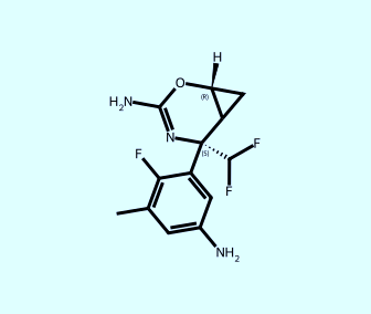 Cc1cc(N)cc([C@@]2(C(F)F)N=C(N)O[C@@H]3CC32)c1F